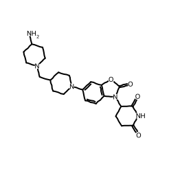 NC1CCN(CC2CCN(c3ccc4c(c3)oc(=O)n4C3CCC(=O)NC3=O)CC2)CC1